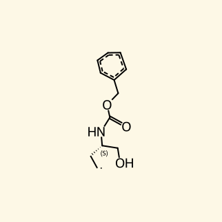 [CH2]C[C@@H](CO)NC(=O)OCc1ccccc1